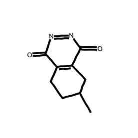 CC1CCC2=C(C1)C(=O)N=NC2=O